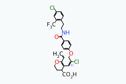 C=CC1=C(/C=C(/Cl)COc2ccc(C(=O)NCCc3ccc(Cl)cc3C(F)(F)F)cc2)C(C(=O)O)CCO1